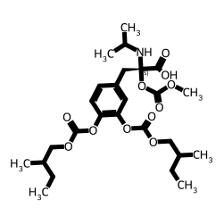 CCC(C)COC(=O)Oc1ccc(C[C@](NC(C)C)(OC(=O)OC)C(=O)O)cc1OC(=O)OCC(C)CC